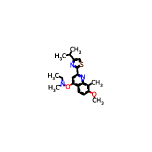 CCN(C)Oc1cc(-c2nc(C(C)C)cs2)nc2c(C)c(OC)ccc12